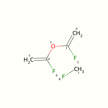 C=C(F)OC(=C)F.CF